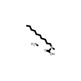 CCCCCCCCCCN(C)C(=O)O.CN